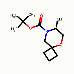 C[C@H]1COC2(CCC2)CN1C(=O)OC(C)(C)C